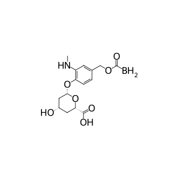 BC(=O)OCc1ccc(O[C@H]2C[C@@H](O)C[C@@H](C(=O)O)O2)c(NC)c1